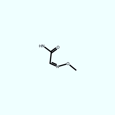 CO/N=C\C([NH])=O